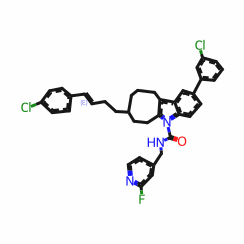 O=C(NCc1ccnc(F)c1)n1c2c(c3cc(-c4cccc(Cl)c4)ccc31)CCCC(CC/C=C/c1ccc(Cl)cc1)CC2